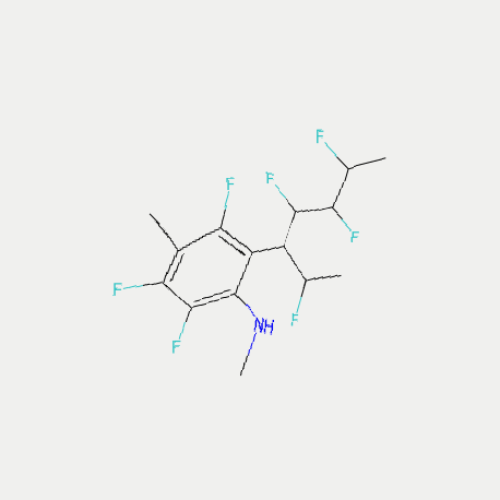 CNc1c(F)c(F)c(C)c(F)c1C(C(C)F)C(F)C(F)C(C)F